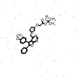 COc1ccc(-c2c(-c3ccccc3)oc3ncnc(C[C@H]4CC[C@H](OCC(=O)OC(C)(C)C)C4)c23)cc1